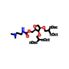 CCCCCCCCCCC(CCCCCCCC)CO[C@@H]1[C@@H](OCC(CCCCCCCC)CCCCCCCCCC)CO[C@@H]1COC(=O)NCCN(C)C